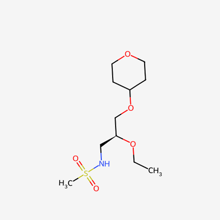 CCO[C@@H](CNS(C)(=O)=O)COC1CCOCC1